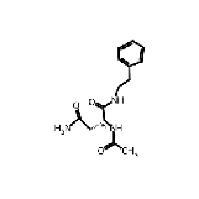 CC(=O)N[C@H](CC(N)=O)C(=O)NCCc1ccccc1